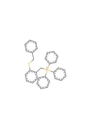 c1ccc(CSc2ccccc2C[PH](c2ccccc2)(c2ccccc2)c2ccccc2)cc1